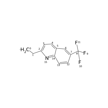 [CH2]Cc1ccc2cc(C(F)(F)F)ccc2n1